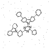 C1=Cc2c(c3ccccc3n2-c2cccc(-c3nc(-c4ccccc4)nc(-n4c5ccc(-c6ccccc6)cc5c5cc(-c6ccccc6)ccc54)n3)c2)CC1